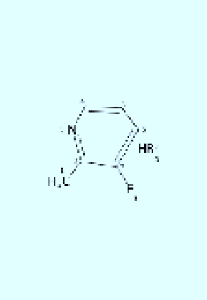 Br.Cc1ncccc1F